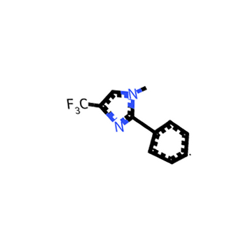 Cn1cc(C(F)(F)F)nc1-c1cc[c]cc1